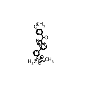 CCS(=O)(=O)N(C)c1cccc(-c2ccnc3c(C(=O)c4ccc(OC)cc4)ncn23)c1